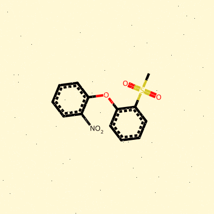 CS(=O)(=O)c1ccccc1Oc1ccccc1[N+](=O)[O-]